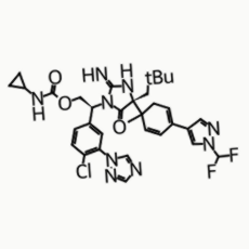 CC(C)(C)C[C@]1(C2(C)C=CC(c3cnn(C(F)F)c3)=CC2)NC(=N)N([C@H](COC(=O)NC2CC2)c2ccc(Cl)c(-n3cncn3)c2)C1=O